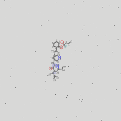 C=CCC1(F)Oc2cccc(C3=Cc4cc(/C=C/C(=O)/C(CC(=N)C=C)=C(\C)C(=C)C)cnc4C3)c2O1